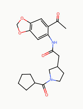 CC(=O)c1cc2c(cc1NC(=O)CC1CCN(C(=O)C3CCCC3)C1)OCO2